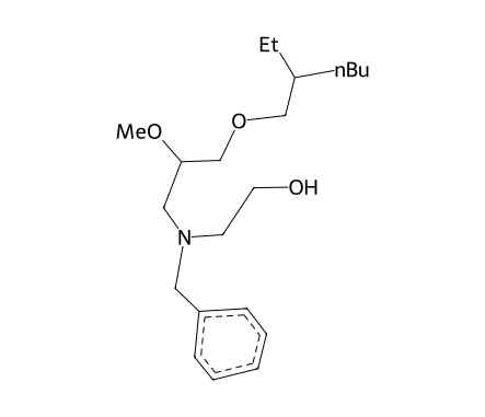 CCCCC(CC)COCC(CN(CCO)Cc1ccccc1)OC